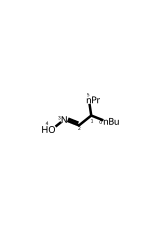 CCCCC(C=NO)CCC